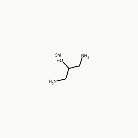 NCC(O)CN.[Sn]